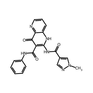 Cn1cc(C(=O)Nc2[nH]c3cccnc3c(=O)c2C(=O)Nc2ccccc2)cn1